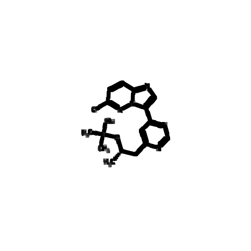 C[C@@H](Cc1cc(-c2cnc3ccc(Cl)nn23)ncn1)O[Si](C)(C)C(C)(C)C